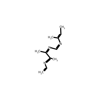 C=C/N=C(C)/C(C)=N\C=N/C(C)=C/C